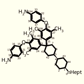 CCCCCCC[C@H]1CC[C@@H](C2CCC(c3cc(C)c(Oc4ccc(N)cc4)c(C)c3)(c3cc(C)c(Oc4ccc(N)cc4)c(C)c3)CC2)CC1